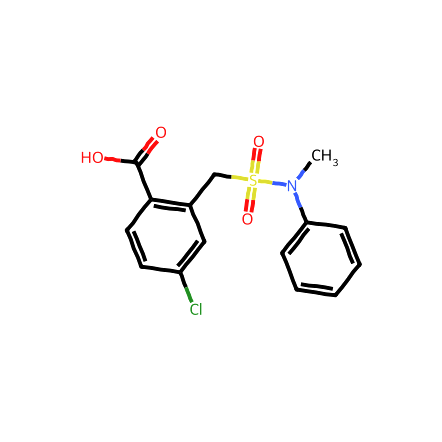 CN(c1ccccc1)S(=O)(=O)Cc1cc(Cl)ccc1C(=O)O